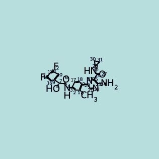 Cc1cc(NC(=O)[C@H](O)c2cc(F)cc(F)c2)ccc1-c1cnc(N)c(C(=O)NC2CC2)n1